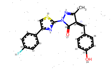 CC1=NN(c2nc(-c3ccc(F)cc3)cs2)C(=O)/C1=C\c1ccc(O)cc1